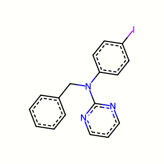 Ic1ccc(N(Cc2ccccc2)c2ncccn2)cc1